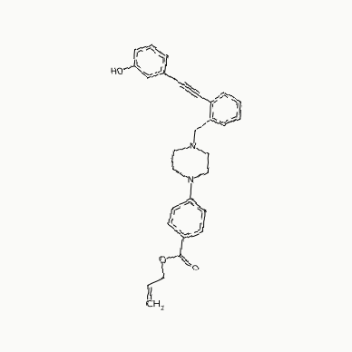 C=CCOC(=O)c1ccc(N2CCN(Cc3ccccc3C#Cc3cccc(O)c3)CC2)cc1